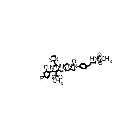 COC(=O)C1=C(CN2CCN3C(=O)N(c4ccc(CCCNS(C)(=O)=O)cc4)CC3C2)NC(c2nccs2)=NC1c1ccc(F)cc1Cl